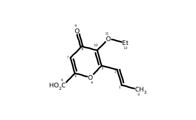 C/C=C/c1oc(C(=O)O)cc(=O)c1OCC